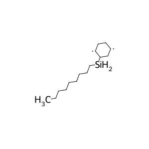 CCCCCCCCC[SiH2]C1[CH]CC[CH]C1